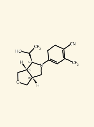 N#CC1=C(C(F)(F)F)C=C(N2C[C@@H]3COC[C@@H]3[C@H]2C(O)C(F)(F)F)CC1